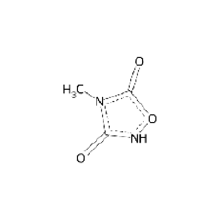 Cn1c(=O)[nH]oc1=O